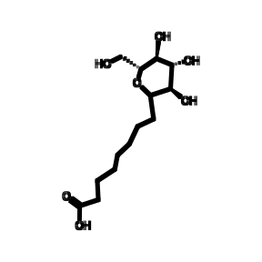 O=C(O)CCCCCCCC1O[C@H](CO)[C@@H](O)[C@H](O)[C@H]1O